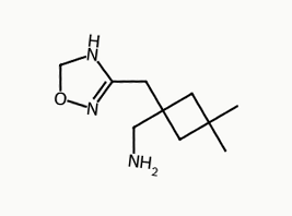 CC1(C)CC(CN)(CC2=NOCN2)C1